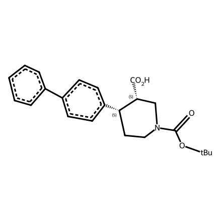 CC(C)(C)OC(=O)N1CC[C@H](c2ccc(-c3ccccc3)cc2)[C@H](C(=O)O)C1